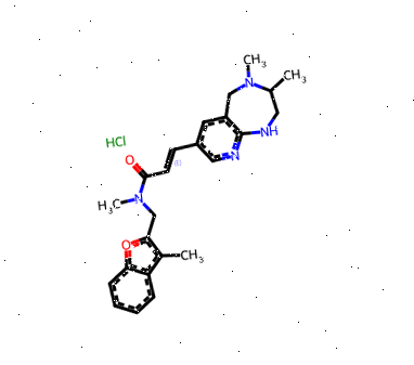 Cc1c(CN(C)C(=O)/C=C/c2cnc3c(c2)CN(C)C(C)CN3)oc2ccccc12.Cl